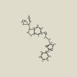 CCC(C=O)C1CCc2cc(OCCc3coc(-c4ccccc4)n3)ccc21